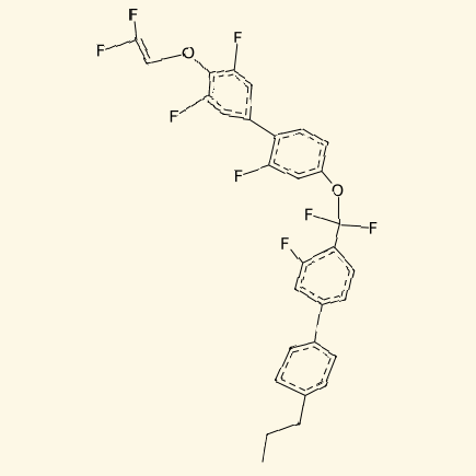 CCCc1ccc(-c2ccc(C(F)(F)Oc3ccc(-c4cc(F)c(OC=C(F)F)c(F)c4)c(F)c3)c(F)c2)cc1